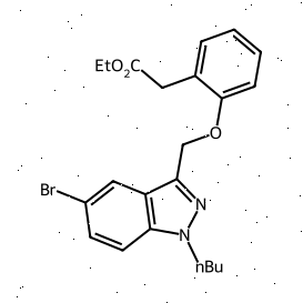 CCCCn1nc(COc2ccccc2CC(=O)OCC)c2cc(Br)ccc21